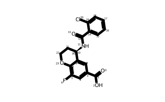 O=C(O)c1cc(F)c2c(c1)[C@H](NC(=O)c1ccccc1Cl)CCO2